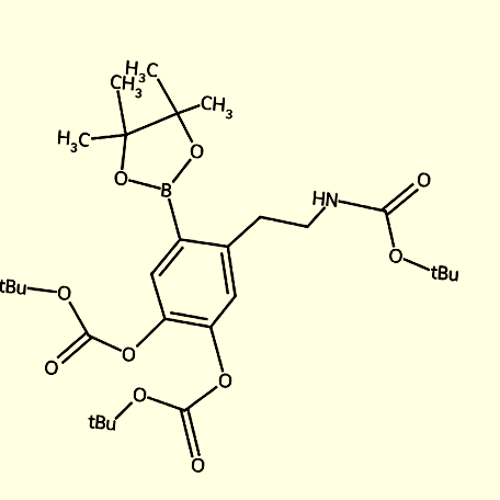 CC(C)(C)OC(=O)NCCc1cc(OC(=O)OC(C)(C)C)c(OC(=O)OC(C)(C)C)cc1B1OC(C)(C)C(C)(C)O1